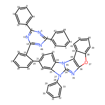 c1ccc(-c2nc(-c3ccccc3)nc(-c3ccccc3-c3ccc4c(c3)n(-c3ccccc3)c3nc5oc6ccccc6c5n43)n2)cc1